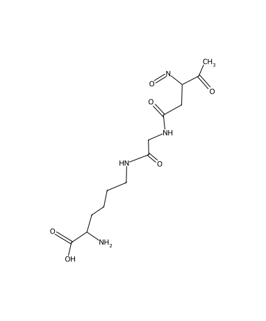 CC(=O)C(CC(=O)NCC(=O)NCCCCC(N)C(=O)O)N=O